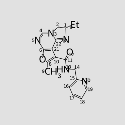 CCC1CN2C=Nc3oc(C)c(C(=O)NCc4ccccn4)c3C2=N1